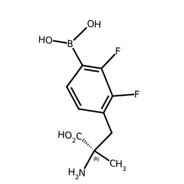 C[C@@](N)(Cc1ccc(B(O)O)c(F)c1F)C(=O)O